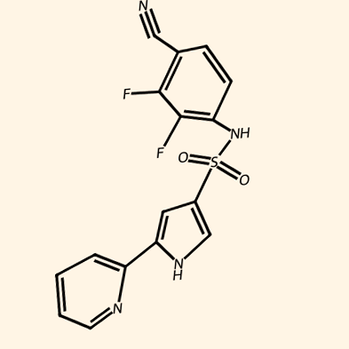 N#Cc1ccc(NS(=O)(=O)c2c[nH]c(-c3ccccn3)c2)c(F)c1F